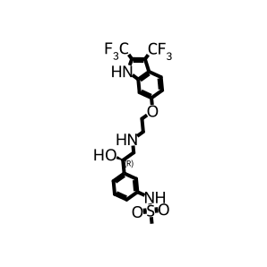 CS(=O)(=O)Nc1cccc([C@@H](O)CNCCOc2ccc3c(C(F)(F)F)c(C(F)(F)F)[nH]c3c2)c1